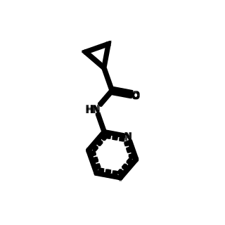 O=C(Nc1cc[c]cn1)C1CC1